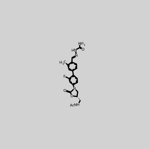 CC(=O)NC[C@H]1CN(c2ccc(-c3ccc(C=NNC(N)=O)c(C)c3)c(F)c2)C(=O)O1